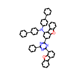 c1ccc(-c2ccc(N(c3ccc(-c4ccccc4)cc3)c3cc(-c4nc(-c5ccccc5)nc(-c5cccc6c5oc5ccccc56)n4)cc4oc5ccccc5c34)cc2)cc1